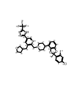 C[C@]1(c2ccc(Cl)cc2F)Oc2cccc(C3CCN(Cc4ncc(-c5nnc(C(F)(F)F)[nH]5)cc4CC4CCOC4)CC3)c2O1